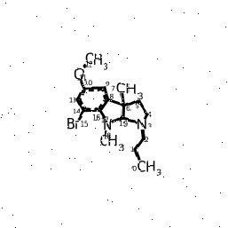 CCCN1CCC2(C)c3cc(OC)cc(Br)c3N(C)C12